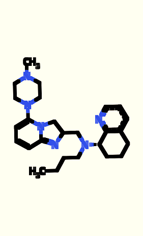 CCCCN(CC1CN2C(N3CCN(C)CC3)=CC=CC2=N1)[C@H]1CCCc2cccnc21